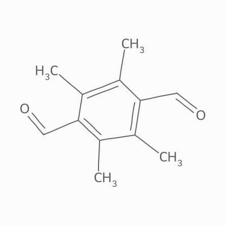 Cc1c(C)c(C=O)c(C)c(C)c1C=O